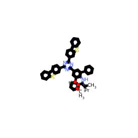 C/C=C(\C(Nc1c(-c2ccccc2)cc(-c2nc(-c3ccc4c(c3)sc3ccccc34)nc(-c3ccc4c(c3)sc3ccccc34)n2)cc1-c1ccccc1)=C(\C)C(C)C)C(C)(C)C